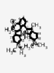 Cc1c(-c2[c]ccc([N+](=O)[O-])c2-c2[nH]c3cc(N(C)C)ccc3c2C)[nH]c2cc(N(C)C)ccc12